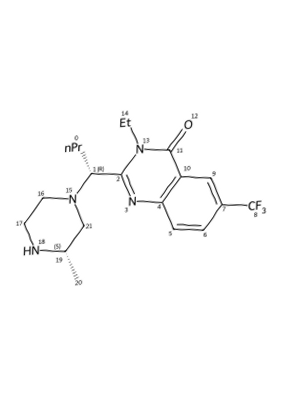 CCC[C@H](c1nc2ccc(C(F)(F)F)cc2c(=O)n1CC)N1CCN[C@@H](C)C1